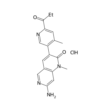 CCC(=O)c1cc(C)c(-c2cc3cnc(N)cc3n(C)c2=O)cn1.Cl